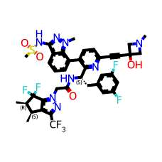 C[C@@H]1c2c(C(F)(F)F)nn(CC(=O)N[C@@H](Cc3cc(F)cc(F)c3)c3nc(C#CC4(O)CN(C)C4)ccc3-c3cccc4c(NS(C)(=O)=O)nn(C)c34)c2C(F)(F)[C@@H]1C